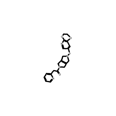 O=C(Cc1ccccn1)N1CC2=C(CN(Sc3cnc4c(c3)OCCO4)C2)C1